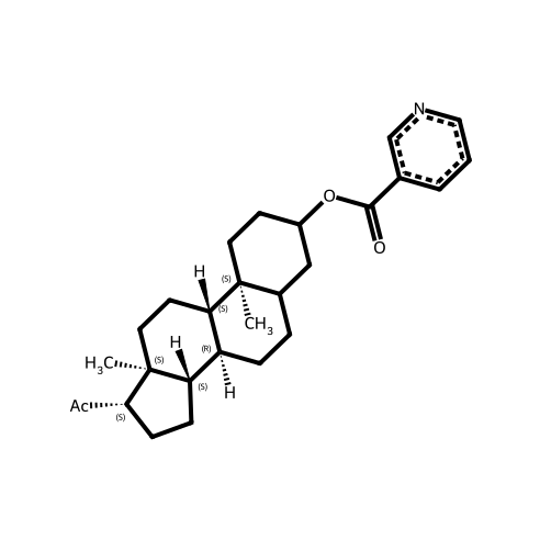 CC(=O)[C@H]1CC[C@H]2[C@@H]3CCC4CC(OC(=O)c5cccnc5)CC[C@]4(C)[C@H]3CC[C@]12C